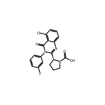 O=C(O)N1CCC[C@H]1c1nc2cccc(Cl)c2c(=O)n1-c1cccc(F)c1